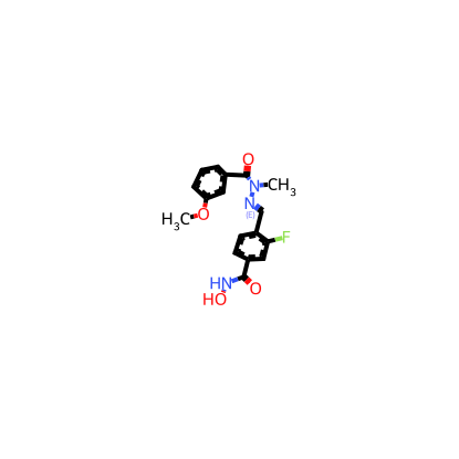 COc1cccc(C(=O)N(C)/N=C/c2ccc(C(=O)NO)cc2F)c1